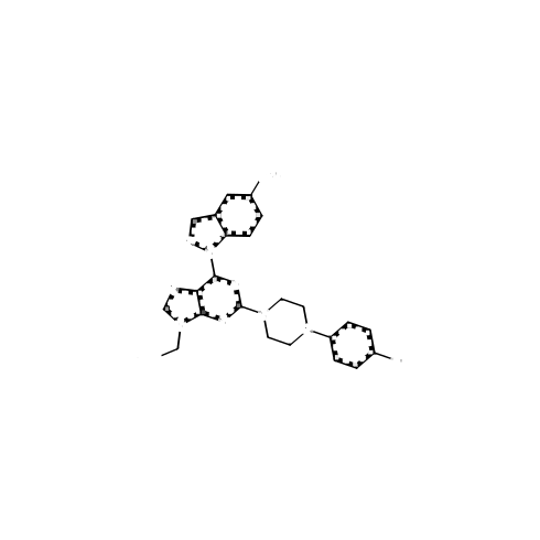 COc1ccc2c(cnn2-c2nc(N3CCN(c4ccc(O)cc4)CC3)nc3c2ncn3CC(=O)O)c1